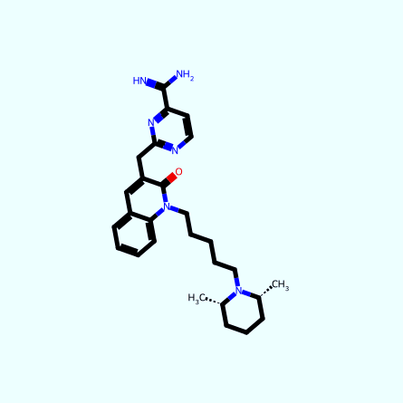 C[C@@H]1CCC[C@H](C)N1CCCCCn1c(=O)c(Cc2nccc(C(=N)N)n2)cc2ccccc21